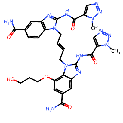 Cn1nncc1C(=O)Nc1nc2cc(C(N)=O)ccc2n1CC=CCn1c(NC(=O)c2cnnn2C)nc2cc(C(N)=O)cc(OCCCO)c21